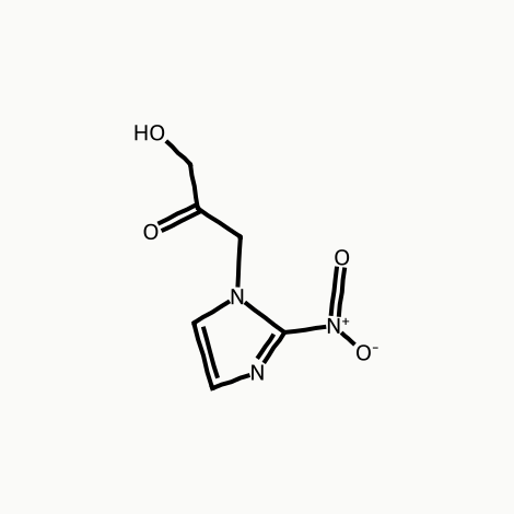 O=C(CO)Cn1ccnc1[N+](=O)[O-]